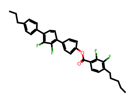 CCCCCc1ccc(C(=O)Oc2ccc(-c3ccc(-c4ccc(CCC)cc4)c(F)c3F)cc2)c(F)c1F